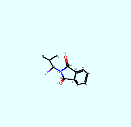 CC(C)C(I)N1C(=O)c2ccccc2C1=O